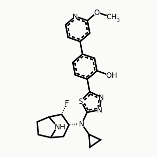 COc1cc(-c2ccc(-c3nnc(N(C4CC4)[C@@H]4CC5CCC(N5)[C@@H]4F)s3)c(O)c2)ccn1